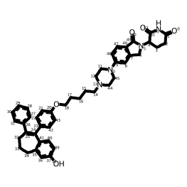 O=C1CCC(N2Cc3cc(N4CCN(CCCCCOc5ccc(C6=C(c7ccccc7)CCCc7cc(O)ccc76)cc5)CC4)ccc3C2=O)C(=O)N1